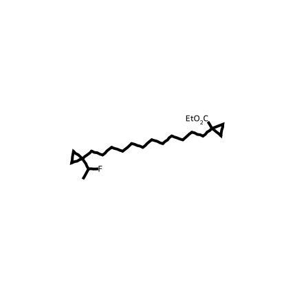 CCOC(=O)C1(CCCCCCCCCCCCC2(C(C)F)CC2)CC1